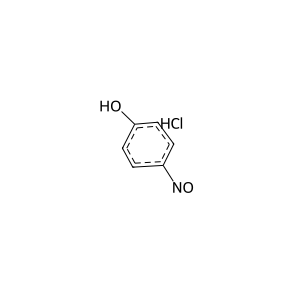 Cl.O=Nc1ccc(O)cc1